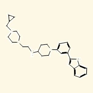 c1cc(-c2cc3ccccc3[nH]2)cc(N2CCC(NCCN3CCN(CC4CC4)CC3)CC2)c1